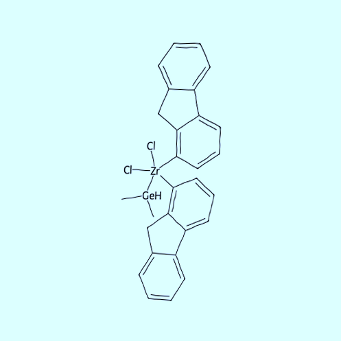 [CH3][GeH]([CH3])[Zr]([Cl])([Cl])([c]1cccc2c1Cc1ccccc1-2)[c]1cccc2c1Cc1ccccc1-2